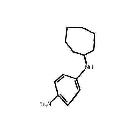 Nc1ccc(NC2CCCCCC2)cc1